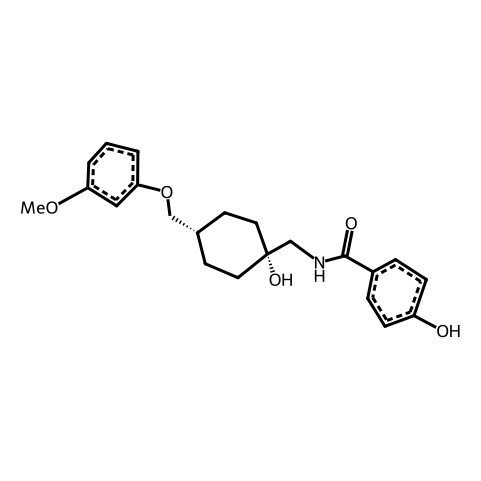 COc1cccc(OC[C@H]2CC[C@](O)(CNC(=O)c3ccc(O)cc3)CC2)c1